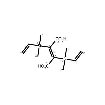 C=C[Si](C)(C)/C(C(=O)O)=C(\C(=O)O)[Si](C)(C)C=C